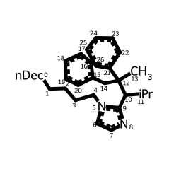 CCCCCCCCCCCCCCn1ccnc1C(C(C)C)C(C)(Cc1ccccc1)c1ccccc1